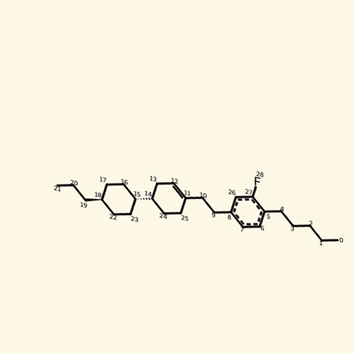 CCCCCc1ccc(CCC2=CCC([C@H]3CC[C@H](CCC)CC3)CC2)cc1F